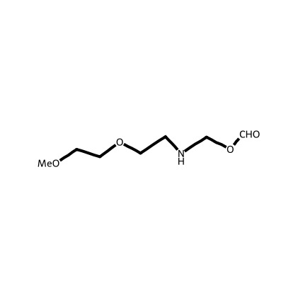 COCCOCCNCOC=O